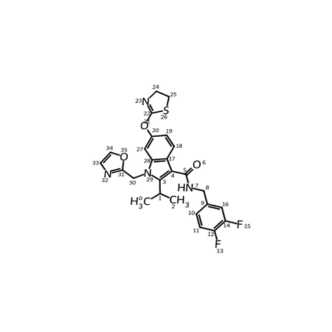 CC(C)c1c(C(=O)NCc2ccc(F)c(F)c2)c2ccc(OC3=NCCS3)cc2n1Cc1ncco1